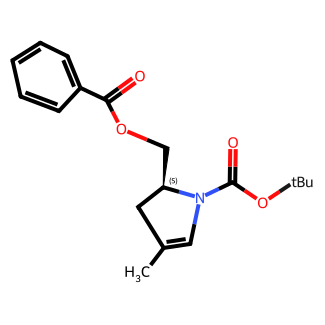 CC1=CN(C(=O)OC(C)(C)C)[C@H](COC(=O)c2ccccc2)C1